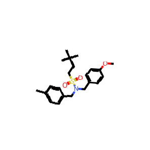 COc1ccc(CN(Cc2ccc(C)cc2)S(=O)(=O)CCC(C)(C)C)cc1